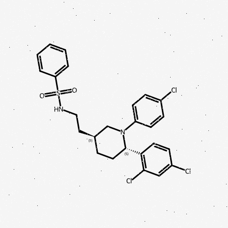 O=S(=O)(NCC[C@@H]1CC[C@@H](c2ccc(Cl)cc2Cl)N(c2ccc(Cl)cc2)C1)c1ccccc1